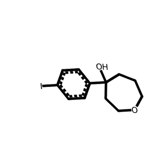 OC1(c2ccc(I)cc2)CCCOCC1